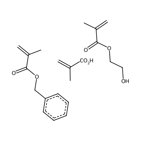 C=C(C)C(=O)O.C=C(C)C(=O)OCCO.C=C(C)C(=O)OCc1ccccc1